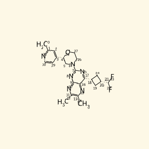 Cc1cc([C@H]2CN(c3nc4nc(C)c(C)nc4c([C@H]4C[C@@H](C(F)F)C4)n3)CCO2)ccn1